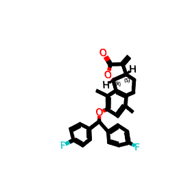 C=C1C(=O)O[C@H]2c3c(C)c(OC(c4ccc(F)cc4)c4ccc(F)cc4)cc(C)c3CC[C@@H]12